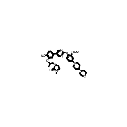 COc1cc(N2CCC(N3CCOCC3)CC2)ccc1Nc1ncc(-c2ccc(C#N)c(OC(C)CN3CCN(C)C3=O)c2)cn1